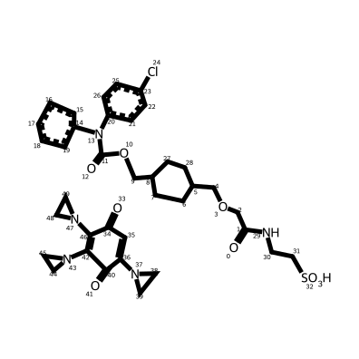 O=C(COCC1CCC(COC(=O)N(c2ccccc2)c2ccc(Cl)cc2)CC1)NCCS(=O)(=O)O.O=C1C=C(N2CC2)C(=O)C(N2CC2)=C1N1CC1